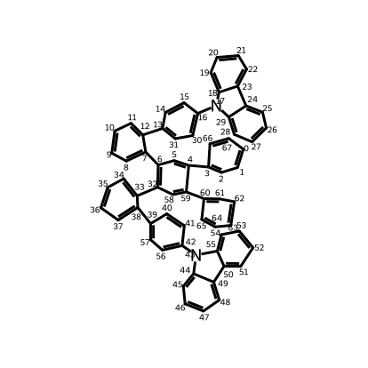 c1ccc(-c2cc(-c3ccccc3-c3ccc(-n4c5ccccc5c5ccccc54)cc3)c(-c3ccccc3-c3ccc(-n4c5ccccc5c5ccccc54)cc3)cc2-c2ccccc2)cc1